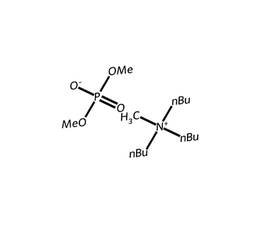 CCCC[N+](C)(CCCC)CCCC.COP(=O)([O-])OC